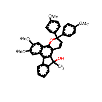 COc1ccc(C2(c3ccc(OC)cc3)C=Cc3c4c(c5cc(OC)c(OC)cc5c3O2)-c2ccccc2C4(O)C(F)(F)F)cc1